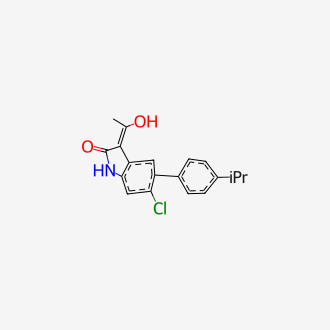 C/C(O)=C1\C(=O)Nc2cc(Cl)c(-c3ccc(C(C)C)cc3)cc21